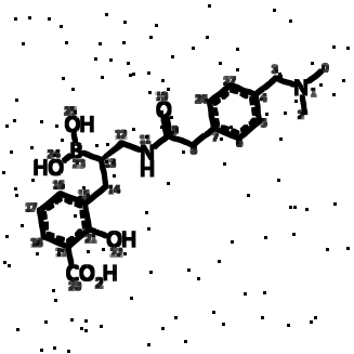 CN(C)Cc1ccc(CC(=O)NC[C@@H](Cc2cccc(C(=O)O)c2O)B(O)O)cc1